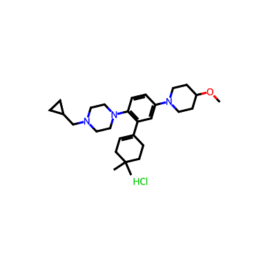 COC1CCN(c2ccc(N3CCN(CC4CC4)CC3)c(C3=CCC(C)(C)CC3)c2)CC1.Cl